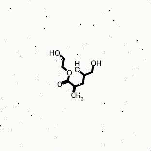 C=C(CC(O)CO)C(=O)OCCO